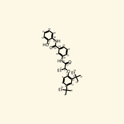 CCC(Oc1ccc(C(C)(C)CC)cc1C(C)(C)CC)C(=O)Nc1cccc(C(=O)Nc2ccccc2O)c1